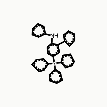 c1ccc(Nc2ccc([Si](c3ccccc3)(c3ccccc3)c3ccccc3)cc2-c2ccccc2)cc1